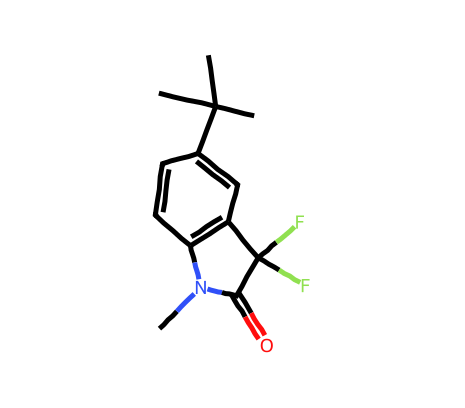 CN1C(=O)C(F)(F)c2cc(C(C)(C)C)ccc21